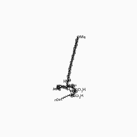 CCCCCCCCCCCCCCCCCCCC(=O)N[C@@H](CCC(=O)N[C@@H](CCC(=O)N[C@H](C(=O)N[C@@H](CCCCNC(=O)CCOCCOCCOCCOCCOCCOCCOCCOCCOCCOCCOCCOC)C(=O)N1CCN(c2ccc3ncn(CC(C)=O)c(=O)c3c2)CC1)[C@@H](C)CC)C(=O)O)C(=O)O